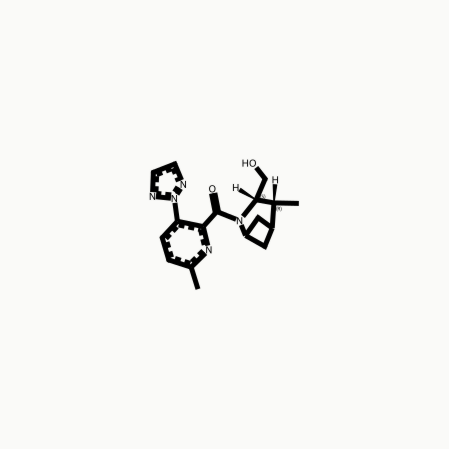 Cc1ccc(-n2nccn2)c(C(=O)N2C3CC(C3)[C@@H](C)[C@H]2CO)n1